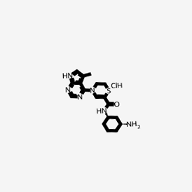 Cc1c[nH]c2ncnc(N3C=C(C(=O)N[C@@H]4CCC[C@@H](N)C4)SCC3)c12.Cl